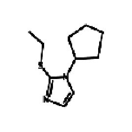 CCSc1nccn1C1CCCC1